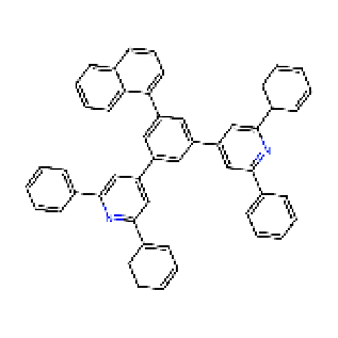 C1=CCCC(c2cc(-c3cc(-c4cc(-c5ccccc5)nc(C5C=CC=CC5)c4)cc(-c4cccc5ccccc45)c3)cc(-c3ccccc3)n2)=C1